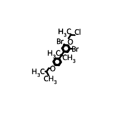 CCC(C)COc1ccc(C(C)(C)c2cc(Br)c(OCC(C)CCl)c(Br)c2)cc1